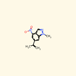 C=C(C)c1cc([N+](=O)[O-])c2cnn(C)c2c1